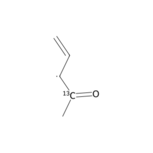 C=C[CH][13C](C)=O